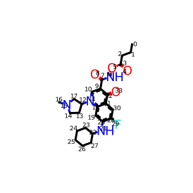 CCCC(=O)ONC(=O)c1cn(C2CCN(C)C2)c2cc(NC3CCCCC3)c(F)cc2c1=O